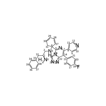 N[C@H](CNC1(c2nc(-c3ccncc3)c(-c3ccc(F)cc3)c3nncn23)C=CC=CC1)Cc1ccccc1